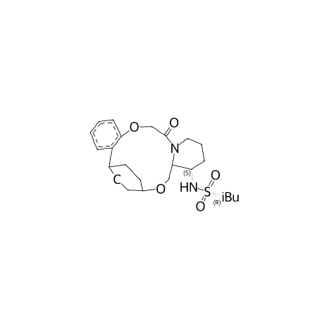 CC[C@@H](C)S(=O)(=O)N[C@H]1CCCN2C(=O)COc3ccccc3C3CCC(CC3)OCC12